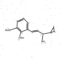 CNc1cccc(/C=C/N(N)C2CC2)c1OC